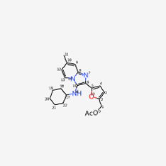 CC(=O)OCc1ccc(-c2nc3cc(C)ccn3c2NC2CCCCC2)o1